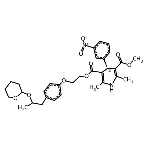 COC(=O)C1=C(C)NC(C)=C(C(=O)OCCOc2ccc(CC(C)OC3CCCCO3)cc2)[C@H]1c1cccc([N+](=O)[O-])c1